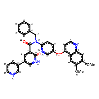 COc1cc2nccc(Oc3ccc(N(Cc4ccccc4)C(=O)c4cc(-c5cccnc5)c[nH]c4=O)nc3)c2cc1OC